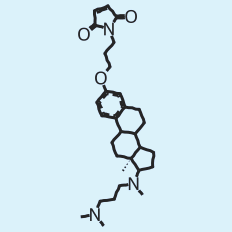 CN(C)CCCN(C)C1CCC2C3CCc4cc(OCCCN5C(=O)C=CC5=O)ccc4C3CC[C@@]21C